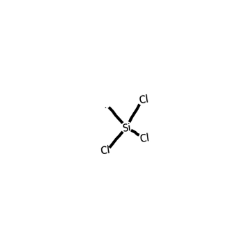 [CH2][Si](Cl)(Cl)Cl